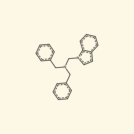 c1ccc(CN(Cc2ccccc2)Cn2ccc3ccccc32)cc1